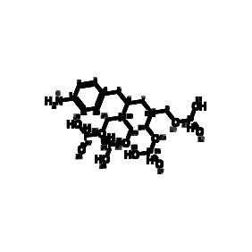 Nc1ccc(CC(CN(CO[PH](=O)O)CO[PH](=O)O)N(CO[PH](=O)O)CO[PH](=O)O)cc1